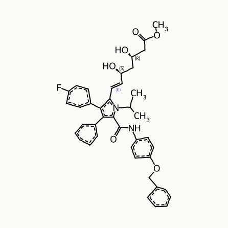 COC(=O)C[C@H](O)C[C@H](O)/C=C/c1c(-c2ccc(F)cc2)c(-c2ccccc2)c(C(=O)Nc2ccc(OCc3ccccc3)cc2)n1C(C)C